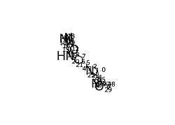 C[C@H]1CN(CC[C@H]2CC[C@H](NC(=O)Cc3cnn(C)n3)CC2)C[C@@H]1c1cc(C2CC2)on1